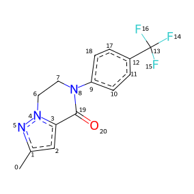 Cc1cc2n(n1)CCN(c1ccc(C(F)(F)F)cc1)C2=O